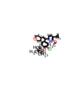 COc1nc(/C(=C/C2CCOCC2)c2ccc(O[Si](C)(C)C(C)(C)C)c(Cl)c2)ccc1C1CC1